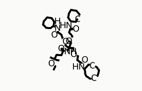 CCOC(C)(C)CCC(=O)NC(COCCC(=O)NC1CCCCCCCCC1)(COCCC(=O)NC1CCCCCCC1)COCCC(=O)NC1CCCCCCC1